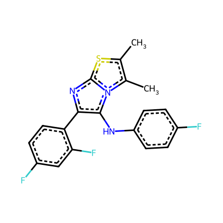 Cc1sc2nc(-c3ccc(F)cc3F)c(Nc3ccc(F)cc3)n2c1C